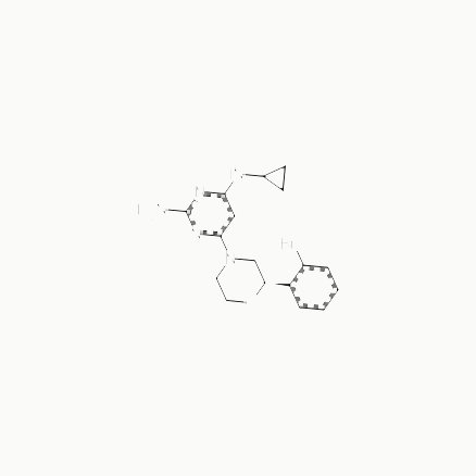 Nc1nc(NC2CC2)cc(N2CCO[C@H](c3ccccc3Br)C2)n1